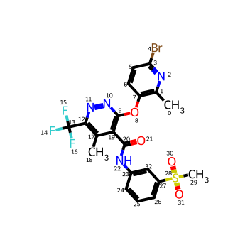 Cc1nc(Br)ccc1Oc1nnc(C(F)(F)F)c(C)c1C(=O)Nc1cccc(S(C)(=O)=O)c1